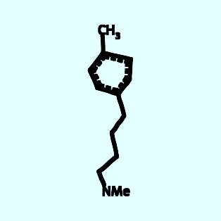 CNCCCCc1ccc(C)cc1